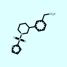 O=C(O)Cc1cccc(C2CCCN(S(=O)(=O)c3cccs3)C2)c1